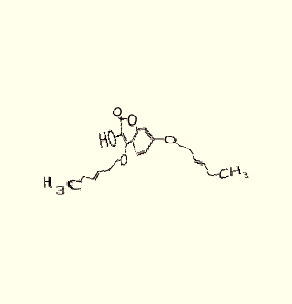 CCC=CCCOc1ccc2c(OCCC=CCC)c(O)c(=O)oc2c1